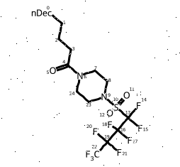 CCCCCCCCCCCCCC(=O)N1CCN(S(=O)(=O)C(F)(F)C(F)(F)C(F)(F)C(F)(F)F)CC1